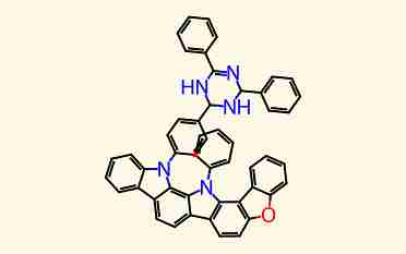 c1ccc(C2=NC(c3ccccc3)NC(c3ccc(-n4c5ccccc5c5ccc6c7ccc8oc9ccccc9c8c7n(-c7ccccc7)c6c54)cc3)N2)cc1